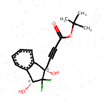 CC(C)(C)OC(=O)C#C[C@]1(O)c2ccccc2[C@@H](O)C1(F)F